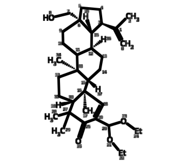 C=C(C)[C@@H]1CC[C@]2(CO)CCC3[C@H](CC[C@@H]4[C@@]5(C)C=C(C(OCC)OCC)C(=O)C(C)(C)[C@@H]5CC[C@@]34C)[C@@H]12